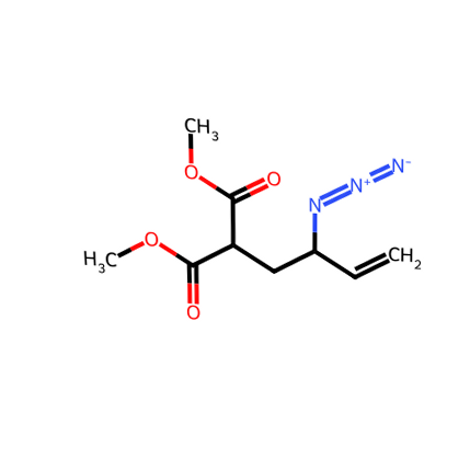 C=CC(CC(C(=O)OC)C(=O)OC)N=[N+]=[N-]